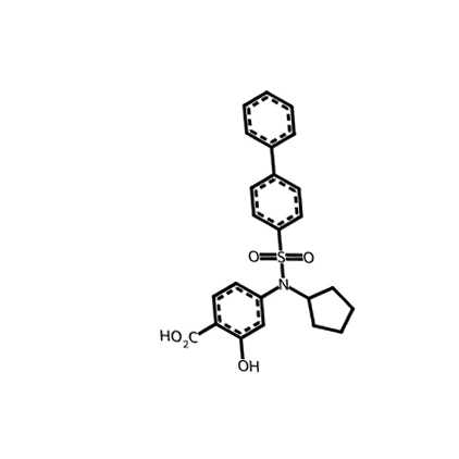 O=C(O)c1ccc(N(C2CCCC2)S(=O)(=O)c2ccc(-c3ccccc3)cc2)cc1O